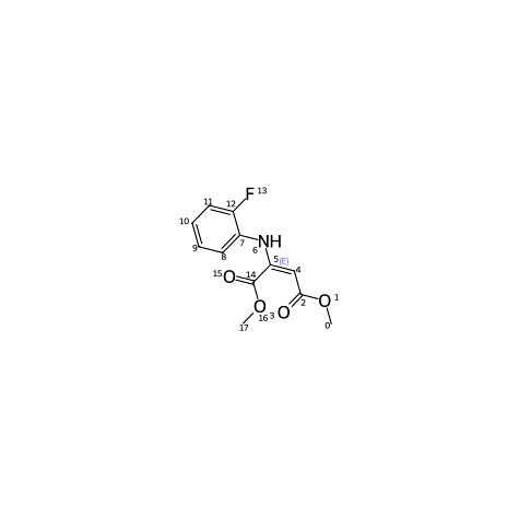 COC(=O)/C=C(/Nc1ccccc1F)C(=O)OC